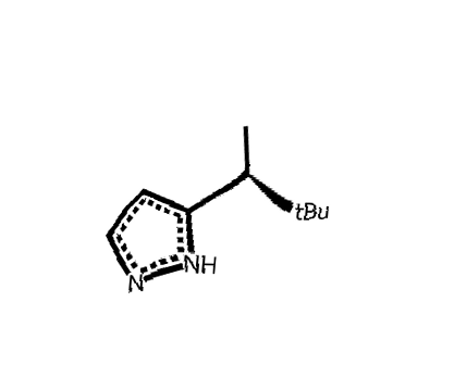 C[C@H](c1ccn[nH]1)C(C)(C)C